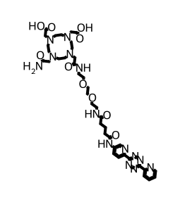 NC(=O)CN1CCN(CC(=O)O)CCN(CC(=O)O)CCN(CC(=O)NCCOCCOCCNC(=O)CCCC(=O)Nc2ccc(-c3nnc(-c4ccccn4)nn3)nc2)CC1